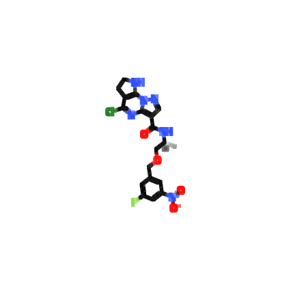 C[C@H](COCc1cc(F)cc([N+](=O)[O-])c1)NC(=O)c1cnn2c3c(c(Cl)nc12)CCN3